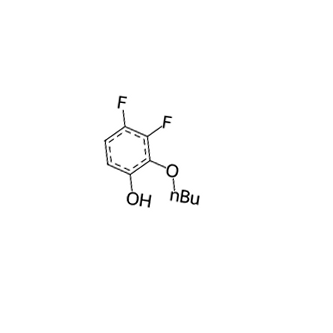 CCCCOc1c(O)ccc(F)c1F